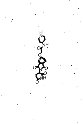 O=C1CCC(N2C(=O)c3ccc(OCC(=O)NC4CCNCC4)cc3C2=O)C(=O)N1